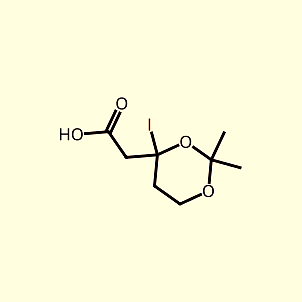 CC1(C)OCCC(I)(CC(=O)O)O1